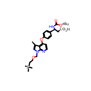 Cc1cn(COCC[Si](C)(C)C)c2nccc(Oc3ccc(C(CC(=O)O)NC(=O)OC(C)(C)C)cc3)c12